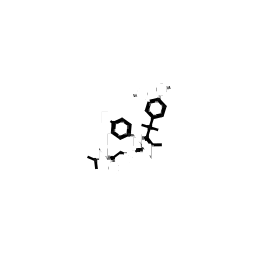 COc1ccc(C(C)(C)c2c(C)nc(SCC(=O)NC(C)C)n2-c2ccc(F)cc2)cc1OC